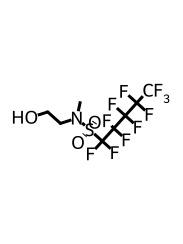 CN(CCO)S(=O)(=O)C(F)(F)C(F)(F)C(F)(F)C(F)(F)C(F)(F)F